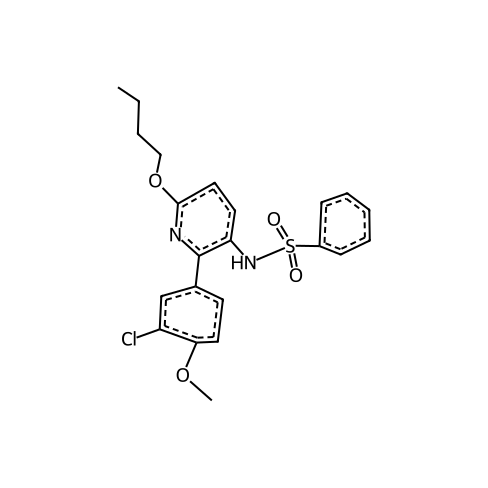 CCCCOc1ccc(NS(=O)(=O)c2ccccc2)c(-c2ccc(OC)c(Cl)c2)n1